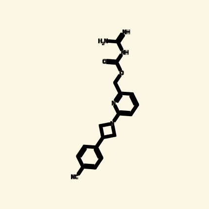 N#Cc1ccc(C2CN(c3cccc(COC(=O)NC(=N)N)n3)C2)cc1